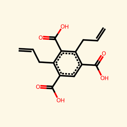 C=CCc1c(C(=O)O)cc(C(=O)O)c(CC=C)c1C(=O)O